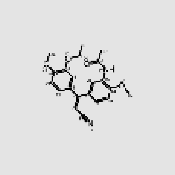 CCOc1cc(C(=CC#N)c2ccc(OC)c(NC(C)=O)c2)ccc1OC